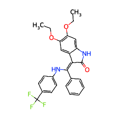 CCOc1cc2c(cc1OCC)C(=C(Nc1ccc(C(F)(F)F)cc1)c1ccccc1)C(=O)N2